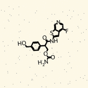 NC(=O)OCC(C(=O)Nc1cc2c(F)cncc2s1)c1ccc(CO)cc1